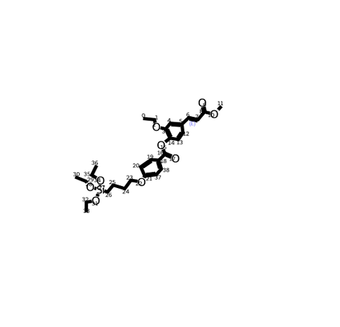 CCOc1cc(/C=C/C(=O)OC)ccc1OC(=O)c1ccc(OCCCC[Si](OCC)(OCC)OCC)cc1